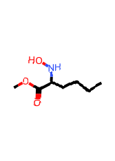 CCCCC(NO)C(=O)OC